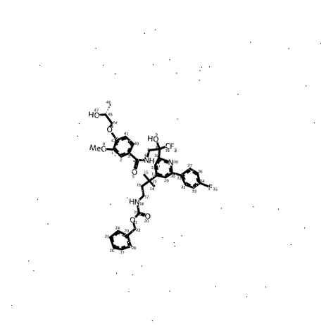 COc1cc(C(=O)NCC(O)(c2cc(C(C)(C)CCNC(=O)OCc3ccccc3)cc(-c3ccc(F)cc3)n2)C(F)(F)F)ccc1OC[C@@H](C)O